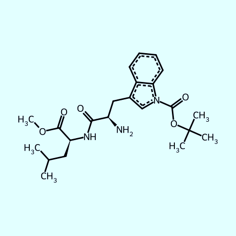 COC(=O)[C@H](CC(C)C)NC(=O)[C@H](N)Cc1cn(C(=O)OC(C)(C)C)c2ccccc12